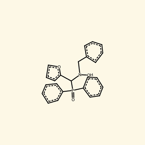 O=P(c1ccccc1)(c1ccccc1)C(c1ccco1)N(O)Cc1ccccc1